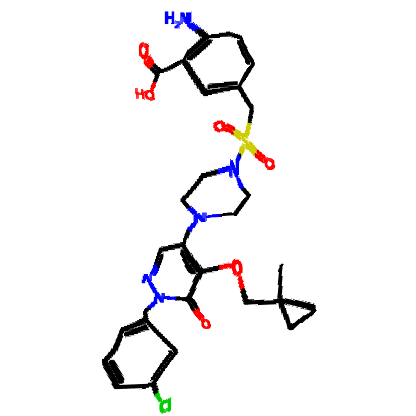 CC1(COc2c(N3CCN(S(=O)(=O)Cc4ccc(N)c(C(=O)O)c4)CC3)cnn(-c3cccc(Cl)c3)c2=O)CC1